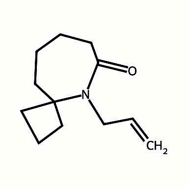 C=CCN1C(=O)CCCCC12CCC2